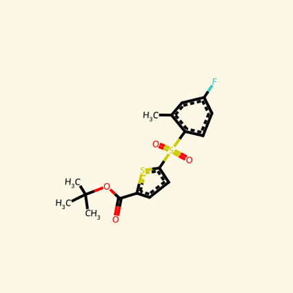 Cc1cc(F)ccc1S(=O)(=O)c1ccc(C(=O)OC(C)(C)C)s1